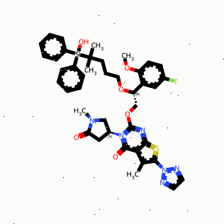 COc1ccc(F)cc1[C@H](COc1nc2sc(-n3nccn3)c(C)c2c(=O)n1[C@H]1CC(=O)N(C)C1)OCCCC(C)(C)[Si](O)(c1ccccc1)c1ccccc1